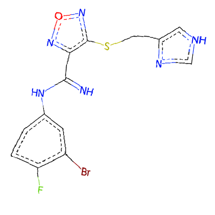 N=C(Nc1ccc(F)c(Br)c1)c1nonc1SCc1c[nH]cn1